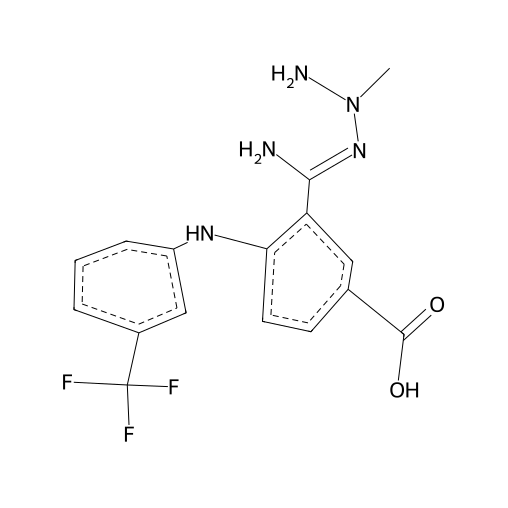 CN(N)/N=C(\N)c1cc(C(=O)O)ccc1Nc1cccc(C(F)(F)F)c1